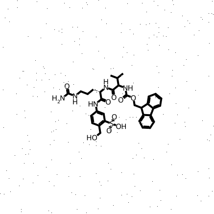 CC(C)C(NC(=O)OCC1c2ccccc2-c2ccccc21)C(=O)N[C@@H](CCCNC(N)=O)C(=O)Nc1ccc(CO)c(S(=O)(=O)O)c1